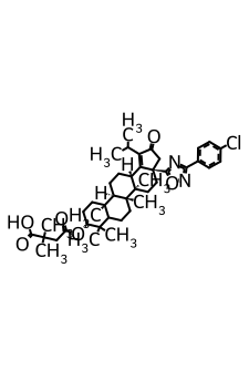 CC(C)C1=C2[C@H]3CC[C@@H]4[C@@]5(C)CC[C@H](OC(=O)CC(C)(C)C(=O)O)C(C)(C)C5CC[C@@]4(C)[C@]3(C)CC[C@@]2(c2nc(-c3ccc(Cl)cc3)no2)CC1=O